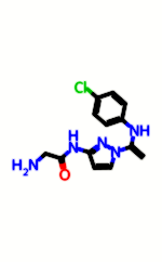 C=C(Nc1ccc(Cl)cc1)n1ccc(NC(=O)CN)n1